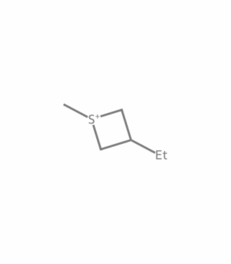 CCC1C[S+](C)C1